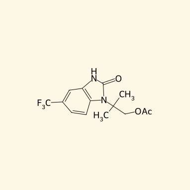 CC(=O)OCC(C)(C)n1c(=O)[nH]c2cc(C(F)(F)F)ccc21